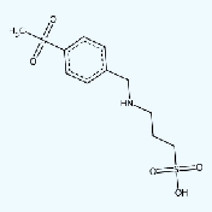 CS(=O)(=O)c1ccc(CNCCCS(=O)(=O)O)cc1